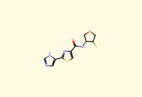 O=C(N[C@H]1COC[C@H]1F)c1csc(-c2cnc[nH]2)n1